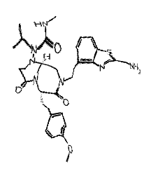 CNC(=O)N(C(C)C)N1CC(=O)N2[C@@H](Cc3ccc(OC)cc3)C(=O)N(Cc3cccc4sc(N)nc34)C[C@@H]21